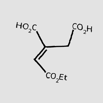 CCOC(=O)C=C(CC(=O)O)C(=O)O